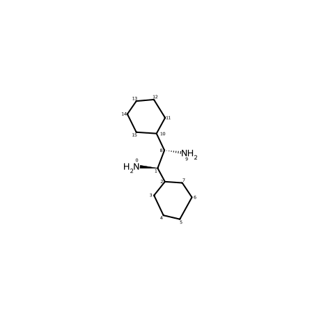 N[C@H](C1CCCCC1)[C@@H](N)C1CCCCC1